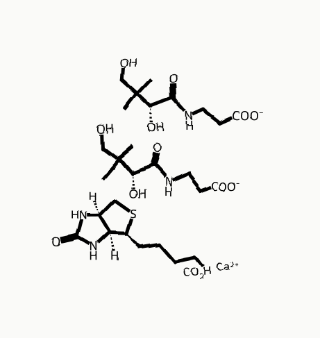 CC(C)(CO)[C@@H](O)C(=O)NCCC(=O)[O-].CC(C)(CO)[C@@H](O)C(=O)NCCC(=O)[O-].O=C(O)CCCC[C@@H]1SC[C@@H]2NC(=O)N[C@@H]21.[Ca+2]